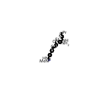 CCN(C(=O)C1CCN(CC(=O)N2CC=C(c3ccc(C(=N)/N=C\NC)cc3)CC2)C1)c1ccc(N)c(C(=N)c2ccc(OC(C)C)nc2)c1